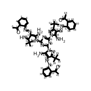 CC(=O)c1ccccc1/N=N/C(C(=N)C(C)(C)C)=C(\N)Nc1nc(-n2nc(C(C)(C)C)c(/N=N/c3ccccc3C(C)=O)c2N)nc(-n2nc(C(C)(C)C)c(/N=N/c3ccccc3C(C)=O)c2N)n1